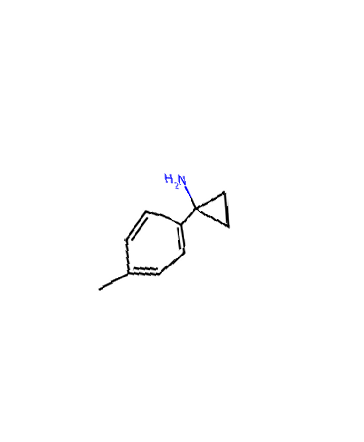 Cc1ccc(C2(N)CC2)cc1